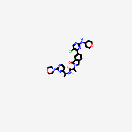 CC(NC(=O)C(C)N1Cc2ccc(-c3nc(NC4CCOCC4)ncc3Cl)cc2C1=O)c1ccnc(N2CCOCC2)n1